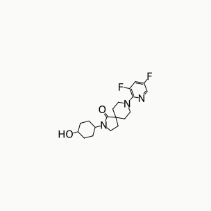 O=C1N(C2CCC(O)CC2)CCC12CCN(c1ncc(F)cc1F)CC2